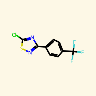 FC(F)(F)c1ccc(-c2nsc(Cl)n2)cc1